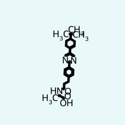 CC(NC(=O)CCc1ccc(-c2ncc(C3=CCC(C(C)(C)C)CC3)cn2)cc1)C(=O)O